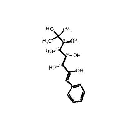 CC(C)(O)[C@@H](O)[C@@H](O)[C@H](O)[C@@H](O)C(O)=Cc1ccccc1